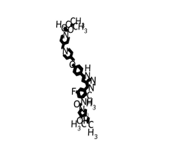 Cc1c(NC(=O)N2C[C@H](CC(C)C)[C@@H](O)C2)cc(F)cc1-c1ncnc2[nH]c(-c3ccc(OCC4CCN(CC5CCN(C(=O)OC(C)(C)C)CC5)CC4)cc3)cc12